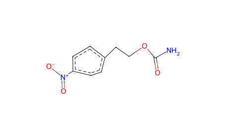 NC(=O)OCCc1ccc([N+](=O)[O-])cc1